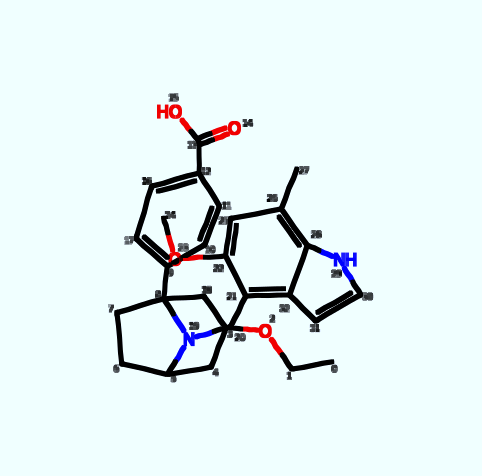 CCOC1CC2CCC(c3ccc(C(=O)O)cc3)(C1)N2Cc1c(OC)cc(C)c2[nH]ccc12